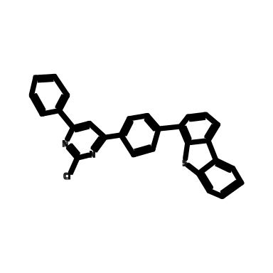 Clc1nc(-c2ccccc2)cc(-c2ccc(-c3cccc4c3sc3ccccc34)cc2)n1